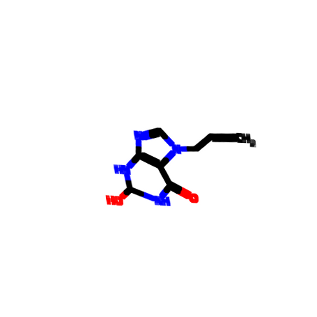 C=CCn1cnc2c1C(=O)NC(O)N2